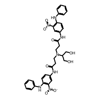 O=C(CCN(CCC(=O)Nc1ccc(Nc2ccccc2)c([N+](=O)[O-])c1)C(CO)CO)Nc1ccc(Nc2ccccc2)c([N+](=O)[O-])c1